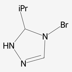 CC(C)C1NN=CN1Br